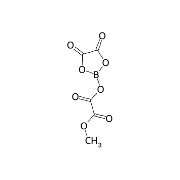 COC(=O)C(=O)OB1OC(=O)C(=O)O1